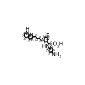 Nc1cnc(NC(CCN(CCCCc2ccc3c(n2)NCCC3)CC(F)F)C(=O)O)nc1